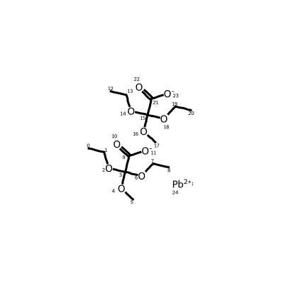 CCOC(OC)(OCC)C(=O)[O-].CCOC(OC)(OCC)C(=O)[O-].[Pb+2]